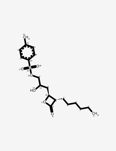 CCCCCC[C@@H]1C(=O)O[C@H]1CC(O)COS(=O)(=O)c1ccc(C)cc1